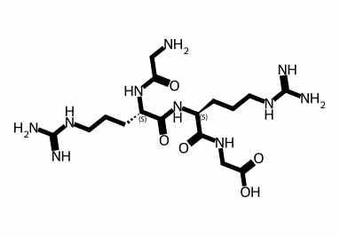 N=C(N)NCCC[C@H](NC(=O)CN)C(=O)N[C@@H](CCCNC(=N)N)C(=O)NCC(=O)O